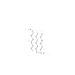 O=C(O)CCCCCCC(=O)O.O=C(O)CCCCCCC(=O)O.O=C(O)CCCCCCC(=O)O.[Fe]